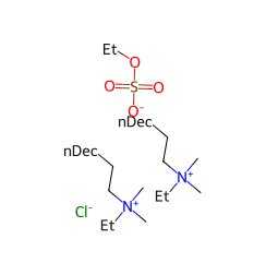 CCCCCCCCCCCC[N+](C)(C)CC.CCCCCCCCCCCC[N+](C)(C)CC.CCOS(=O)(=O)[O-].[Cl-]